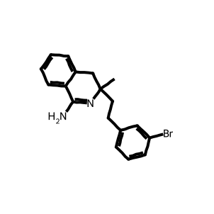 CC1(CCc2cccc(Br)c2)Cc2ccccc2C(N)=N1